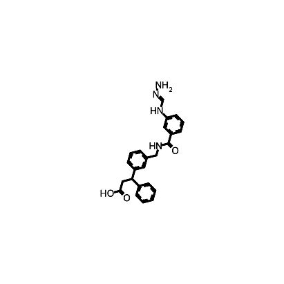 NN=CNc1cccc(C(=O)NCc2cccc(C(CC(=O)O)c3ccccc3)c2)c1